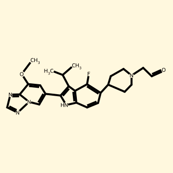 COc1cc(-c2[nH]c3ccc(C4CCN(CC=O)CC4)c(F)c3c2C(C)C)cn2ncnc12